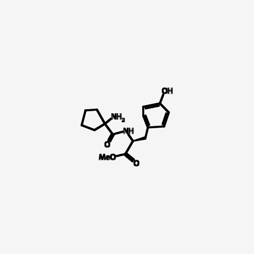 COC(=O)[C@H](Cc1ccc(O)cc1)NC(=O)C1(N)CCCC1